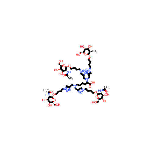 CC(=O)N[C@H]1[C@H](OCCCCn2cc(CN(CCCCC(C(=O)O)N(Cc3cn(CCCCO[C@@H]4O[C@H](CO)[C@H](O)[C@H](O)[C@H]4C)nn3)Cc3cn(CCCCO[C@@H]4O[C@H](CO)[C@H](O)[C@H](O)[C@H]4NC(C)=O)nn3)Cc3cn(CCCCO[C@@H]4O[C@H](CO)[C@H](O)[C@H](O)[C@H]4NC(C)=O)nn3)nn2)O[C@H](CO)[C@H](O)[C@@H]1O